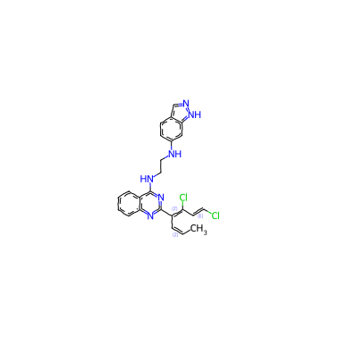 C\C=C/C(=C(Cl)\C=C\Cl)c1nc(NCCNc2ccc3cn[nH]c3c2)c2ccccc2n1